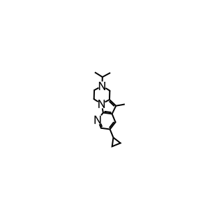 Cc1c2n(c3ncc(C4CC4)cc13)CCN(C(C)C)C2